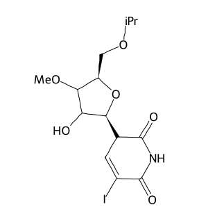 COC1C(O)[C@H](C2C=C(I)C(=O)NC2=O)O[C@@H]1COC(C)C